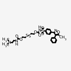 Cc1onc(-c2ccc(S(=O)(=O)NC(=O)OCCSSCCOC(=O)NCCN(C)C)cc2)c1-c1ccccc1